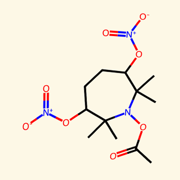 CC(=O)ON1C(C)(C)C(O[N+](=O)[O-])CCC(O[N+](=O)[O-])C1(C)C